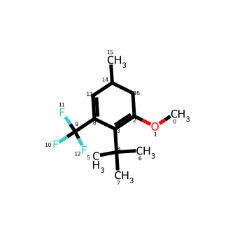 COC1=C(C(C)(C)C)C(C(F)(F)F)=CC(C)C1